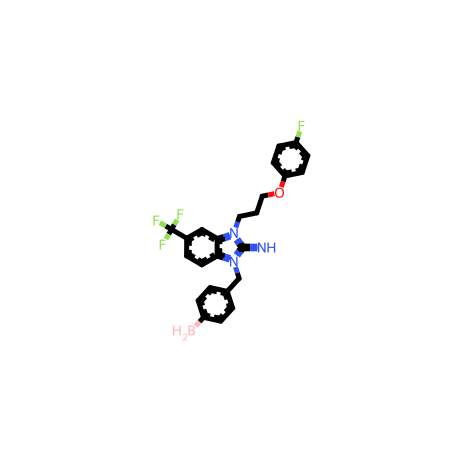 Bc1ccc(Cn2c(=N)n(CCCOc3ccc(F)cc3)c3cc(C(F)(F)F)ccc32)cc1